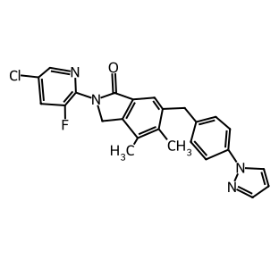 Cc1c(Cc2ccc(-n3cccn3)cc2)cc2c(c1C)CN(c1ncc(Cl)cc1F)C2=O